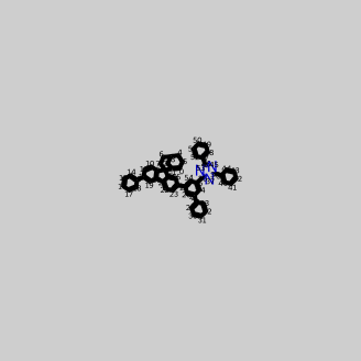 C1=C2CC(CC1)CCC21c2ccc(-c3ccccc3)cc2-c2ccc(-c3cc(-c4ccccc4)cc(-c4nc(-c5ccccc5)nc(-c5ccccc5)n4)c3)cc21